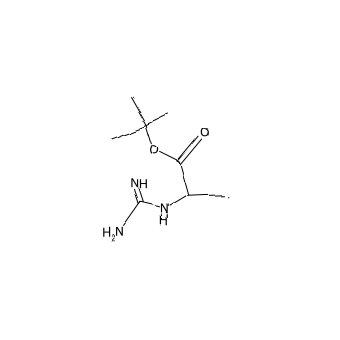 [CH2]C(NC(=N)N)C(=O)OC(C)(C)C